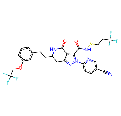 N#Cc1ccc(-n2nc3c(c2C(=O)NSCCC(F)(F)F)C(=O)NC(CCc2cccc(OCC(F)(F)F)c2)C3)nc1